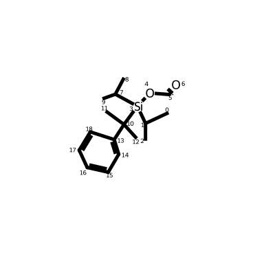 CC(C)[Si](O[C]=O)(C(C)C)C(C)(C)c1ccccc1